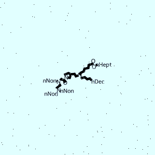 CCCCCCCCCCCCCCN(CCCCCC(=O)OCCCCCCC)CCC1CCN(C(=O)CN(CCCCCCCCC)CCN(CCCCCCCCC)CCCCCCCCC)C1